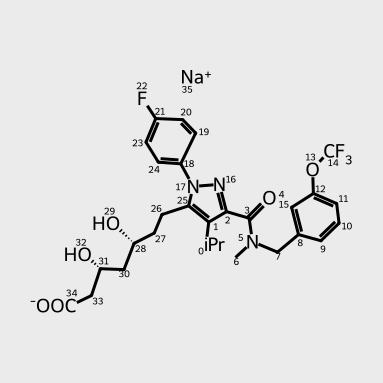 CC(C)c1c(C(=O)N(C)Cc2cccc(OC(F)(F)F)c2)nn(-c2ccc(F)cc2)c1CC[C@@H](O)C[C@@H](O)CC(=O)[O-].[Na+]